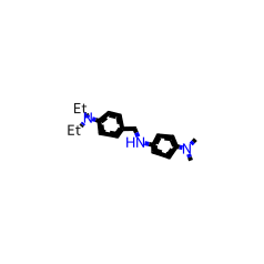 CCN(CC)c1ccc(CNc2ccc(N(C)C)cc2)cc1